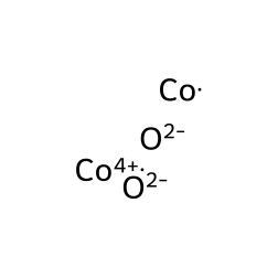 [Co+4].[Co].[O-2].[O-2]